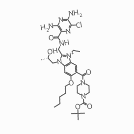 CCCCCOc1cc2c(cc1C(=O)N1CCN(C(=O)OC(C)(C)C)CC1)[n+](CC)c(CNC(=O)c1nc(Cl)c(N)nc1N)n2C[C@H](C)O